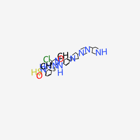 COc1cc(N2CCC(N3CCN(CC4CCNCC4)CC3)CC2)ccc1Nc1ncc(Cl)c(Nc2ccccc2N(C)[SH]=O)n1